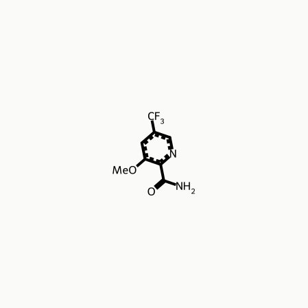 COc1cc(C(F)(F)F)cnc1C(N)=O